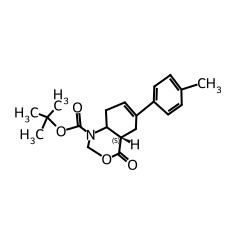 Cc1ccc(C2=CCC3[C@H](C2)C(=O)OCN3C(=O)OC(C)(C)C)cc1